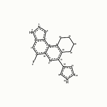 Fc1cc2[nH]ncc2c2c3c(c(-c4cn[nH]c4)nc12)CCCC3